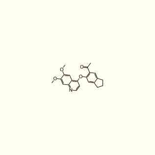 COc1cc2nccc(Oc3cc4c(cc3C(C)=O)CCC4)c2cc1OC